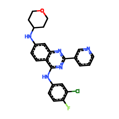 Fc1ccc(Nc2nc(-c3cccnc3)nc3cc(NC4CCOCC4)ccc23)cc1Cl